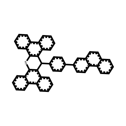 c1ccc2c(c1)ccc1cc(-c3ccc(C4c5c(c6ccccc6c6ccccc56)Sc5c4c4ccccc4c4ccccc54)cc3)ccc12